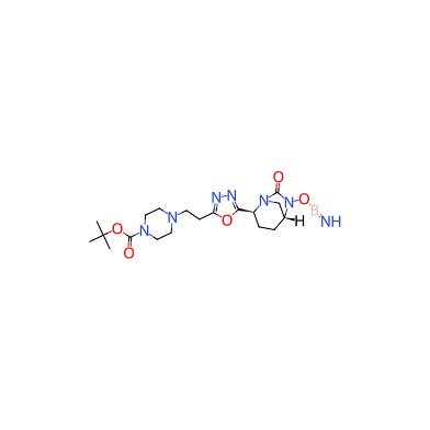 CC(C)(C)OC(=O)N1CCN(CCc2nnc([C@@H]3CC[C@@H]4CN3C(=O)N4OB=N)o2)CC1